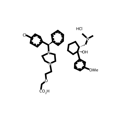 COc1cccc([C@@]2(O)CCCC[C@@H]2CN(C)C)c1.Cl.O=C(O)COCCN1CCN([C@H](c2ccccc2)c2ccc(Cl)cc2)CC1